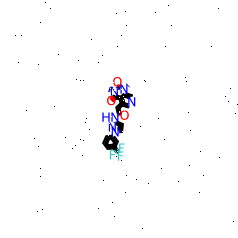 Cn1c(=O)c2c(CC(=O)Nc3ccn(-c4cccc(C(F)(F)F)c4)n3)cncc2n(C)c1=O